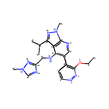 CCOc1nnccc1-c1cnc2c(c(C(C)C)nn2C)c1NCc1ncn(C)n1